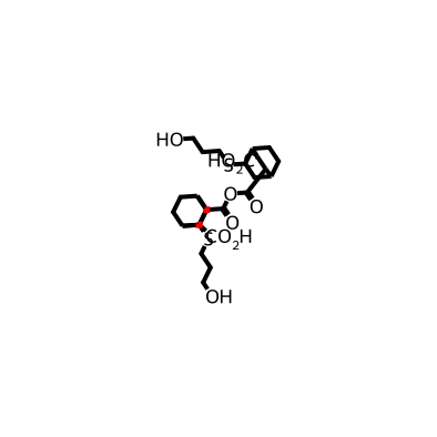 O=C(OC(=O)C1C2CCC(C(SCCCO)C2)C1C(=O)O)C1C2CCC(C(SCCCO)C2)C1C(=O)O